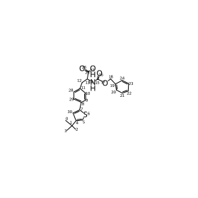 CC(C)(C)c1csc(-c2ccc(CC(NC(=O)OCc3ccccc3)C(=O)O)cc2)c1